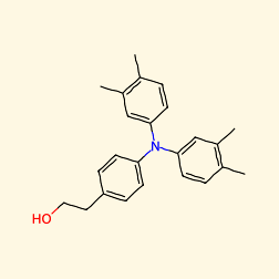 Cc1ccc(N(c2ccc(CCO)cc2)c2ccc(C)c(C)c2)cc1C